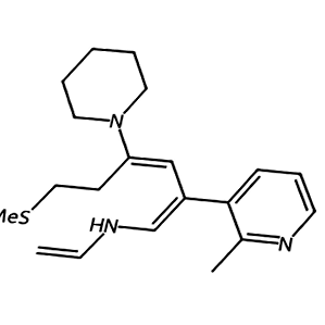 C=CN/C=C(\C=C(/CCSC)N1CCCCC1)c1cccnc1C